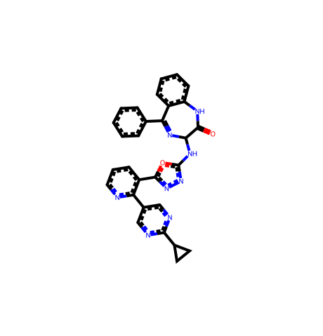 O=C1Nc2ccccc2C(c2ccccc2)=NC1Nc1nnc(-c2cccnc2-c2cnc(C3CC3)nc2)o1